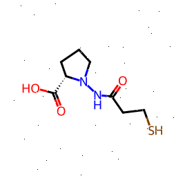 O=C(CCS)NN1CCC[C@H]1C(=O)O